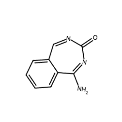 Nc1nc(=O)ncc2ccccc12